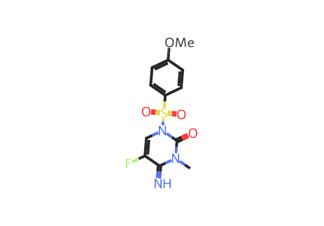 COc1ccc(S(=O)(=O)n2cc(F)c(=N)n(C)c2=O)cc1